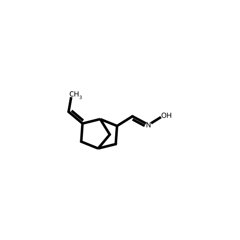 CC=C1CC2CC(C=NO)C1C2